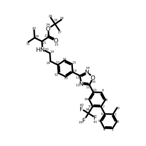 Cc1ccccc1-c1ccc(-c2nc(-c3ccc(CCNC(C(=O)OC(C)(C)C)C(C)C)cc3)no2)cc1C(F)(F)F